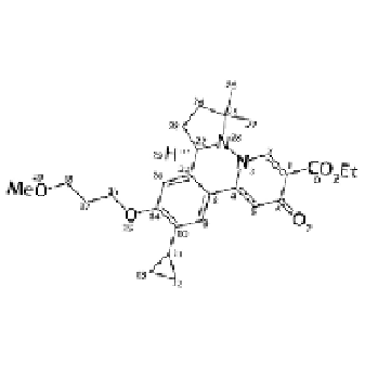 CCOC(=O)c1cn2c(cc1=O)-c1cc(C3CC3)c(OCCCOC)cc1[C@H]1CCC(C)(C)N12